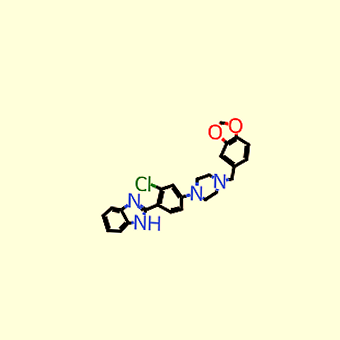 Clc1cc(N2CCN(Cc3ccc4c(c3)OCO4)CC2)ccc1-c1nc2ccccc2[nH]1